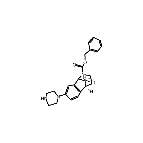 C[C@@H]1C2c3cc(N4CCNCC4)ccc3[C@@H]1CCN2C(=O)OCc1ccccc1